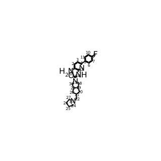 Nc1ccc(-c2ccc(F)cc2)nc1NC(=O)N1CC2CC(CN3CCCC3)CC2C1